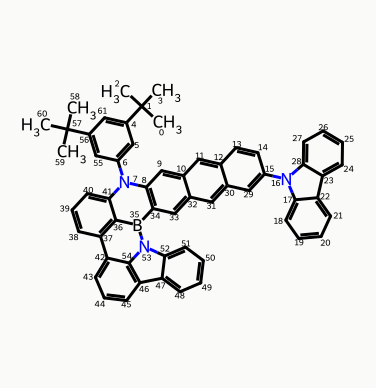 CC(C)(C)c1cc(N2c3cc4cc5ccc(-n6c7ccccc7c7ccccc76)cc5cc4cc3B3c4c(cccc42)-c2cccc4c5ccccc5n3c24)cc(C(C)(C)C)c1